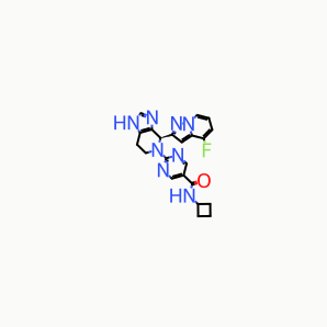 O=C(NC1CCC1)c1cnc(N2CCc3[nH]cnc3[C@H]2c2cc3c(F)cccn3n2)nc1